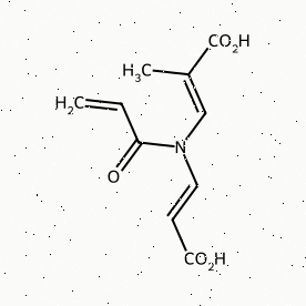 C=CC(=O)N(C=CC(=O)O)C=C(C)C(=O)O